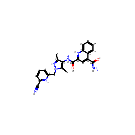 Cc1nn(Cc2cccc(C#N)n2)c(C)c1NC(=O)c1cc(C(N)=O)c2ccccc2n1